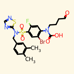 Cc1ccc(CN(c2ncns2)S(=O)(=O)c2cc(Br)c(N(CCCC=O)C(=O)O)cc2F)cc1C